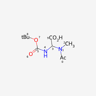 CC(=O)N(C)C(NC(=O)OC(C)(C)C)C(=O)O